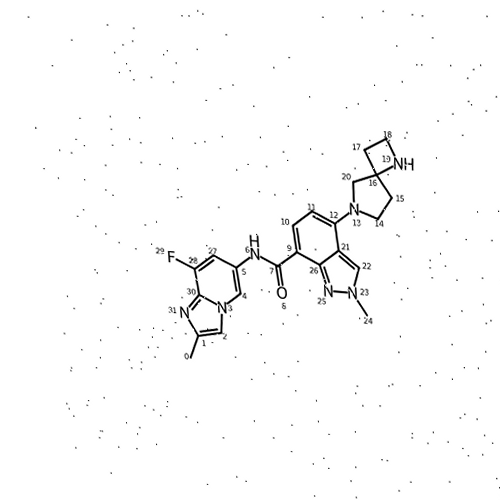 Cc1cn2cc(NC(=O)c3ccc(N4CCC5(CCN5)C4)c4cn(C)nc34)cc(F)c2n1